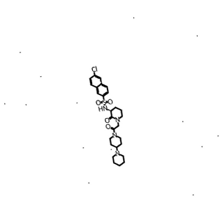 O=C(CN1CCC[C@H](NS(=O)(=O)c2ccc3cc(Cl)ccc3c2)C1=O)N1CCC(N2CCCCC2)CC1